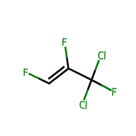 FC=C(F)C(F)(Cl)Cl